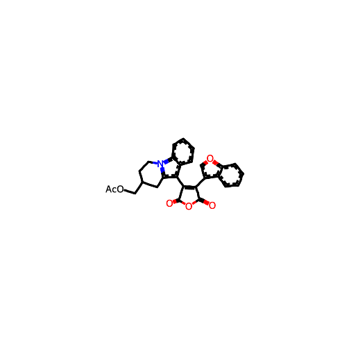 CC(=O)OCC1CCn2c(c(C3=C(c4coc5ccccc45)C(=O)OC3=O)c3ccccc32)C1